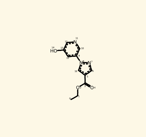 CCOC(=O)c1cnn(-c2cncc(O)c2)c1